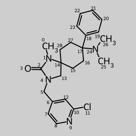 CN1C(=O)N(Cc2ccnc(Cl)c2)CC12CCC(c1ccccc1)(N(C)C)CC2